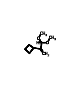 C=C(C1CCC1)[SiH](OC)OC